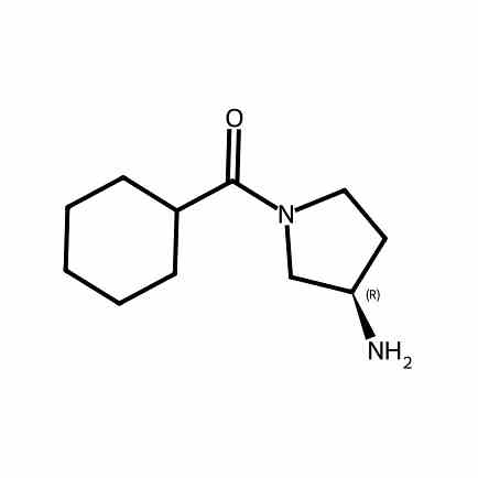 N[C@@H]1CCN(C(=O)C2CCCCC2)C1